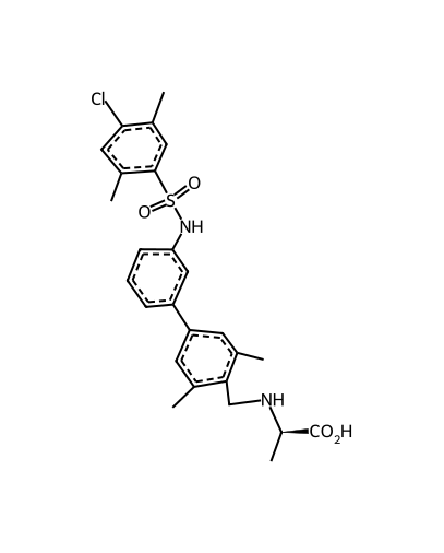 Cc1cc(S(=O)(=O)Nc2cccc(-c3cc(C)c(CN[C@H](C)C(=O)O)c(C)c3)c2)c(C)cc1Cl